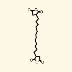 O=C1CC(CCCCCCCCCCCCC2CC(=O)OC2=O)C(=O)O1